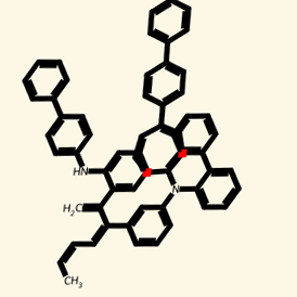 C=C(/C(=C\C=C/C)c1cccc(N(C2=CC=C(c3ccc(-c4ccccc4)cc3)C=CC2)c2ccccc2-c2ccccc2)c1)c1ccccc1Nc1ccc(-c2ccccc2)cc1